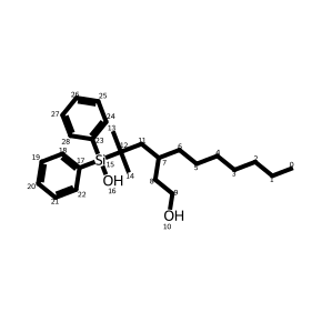 CCCCCCCC(CCO)CC(C)(C)[Si](O)(c1ccccc1)c1ccccc1